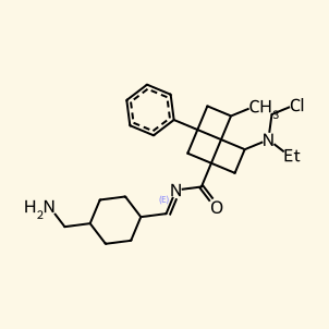 CCN(CCl)C1CC2(C(=O)/N=C/C3CCC(CN)CC3)CC3(c4ccccc4)CC(C)C123